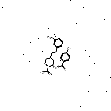 Cc1cccc(CCC2CCN(C(=O)O)CC2)c1.NC(=O)c1ccc(O)cc1